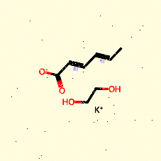 C/C=C/C=C/C(=O)[O-].OCCO.[K+]